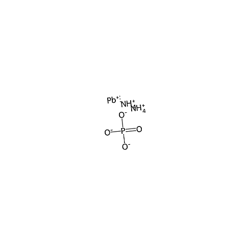 O=P([O-])([O-])[O-].[NH4+].[NH4+].[Pb+]